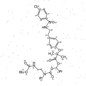 CC(C)C(OC(=O)N(CCNC(=O)OC(C)(C)C)C(C)C)OC(=O)C(C)(C)Oc1ccc(CCNC(=O)c2ccc(Cl)cc2)cc1